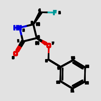 O=C1N[C@@H](CF)[C@H]1OCc1ccccc1